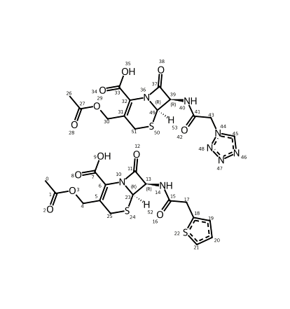 CC(=O)OCC1=C(C(=O)O)N2C(=O)[C@@H](NC(=O)Cc3cccs3)[C@H]2SC1.CC(=O)OCC1=C(C(=O)O)N2C(=O)[C@@H](NC(=O)Cn3cnnn3)[C@H]2SC1